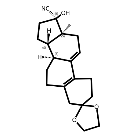 C[C@]12CC=C3C4=C(CC[C@H]3[C@@H]1CC[C@]2(O)C#N)CC1(CC4)OCCO1